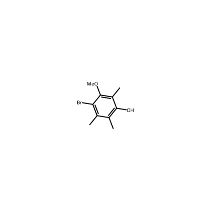 COc1c(C)c(O)c(C)c(C)c1Br